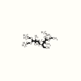 C[SiH2]OC(O[SiH2]C)C(C)(C)CC[C@H](CC#N)C(C)(C)C(O[SiH2]C)O[SiH2]C